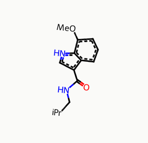 COc1cccc2c(C(=O)NCC(C)C)c[nH]c12